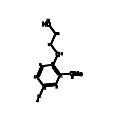 COc1cc(F)ccc1OCCO